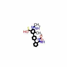 Cc1nc2c(C(O)=S)cc(-c3ccc(-c4ccccc4-c4nc(=O)o[nH]4)cc3)c(C)c2[nH]1